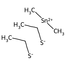 CC[S-].CC[S-].[CH3][Sn+2][CH3]